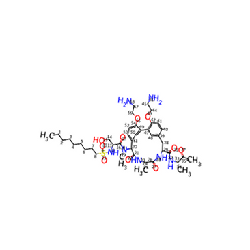 CCCCCCCCCS(=O)(=O)N[C@@H](CO)C(=O)N(C)[C@@H]1C(=O)N[C@@H](C)C(=O)N[C@H](C(=O)N[C@@H](C)C(C)=O)Cc2ccc(OCCN)c(c2)-c2cc1ccc2OCCN